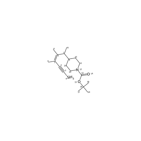 CC(C#C[SiH3])=C(C)C(C)C1CCN(C(=O)OC(C)(C)C)CC1